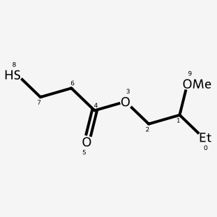 CCC(COC(=O)CCS)OC